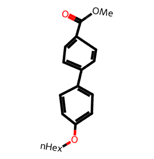 CCCCCCOc1ccc(-c2ccc(C(=O)OC)cc2)cc1